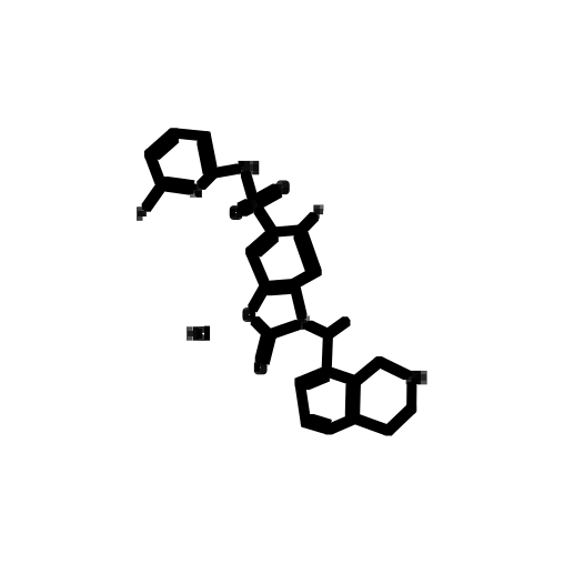 CC(c1cccc2c1CNCC2)n1c(=O)oc2cc(S(=O)(=O)Nc3cccc(F)n3)c(F)cc21.Cl